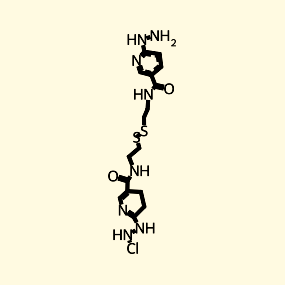 NNc1ccc(C(=O)NCCSSCCNC(=O)C2=CN=C(NNCl)CC2)cn1